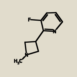 CN1CC(c2ncccc2F)C1